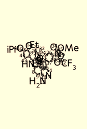 CCOc1cc([C@H](Nc2ccc3c(N)nccc3c2)C(=O)N2CCC[C@@H]2c2cc(N(OC(=O)C(F)(F)F)C(=O)OC)ccc2S(=O)(=O)CC)ccc1OC(C)C